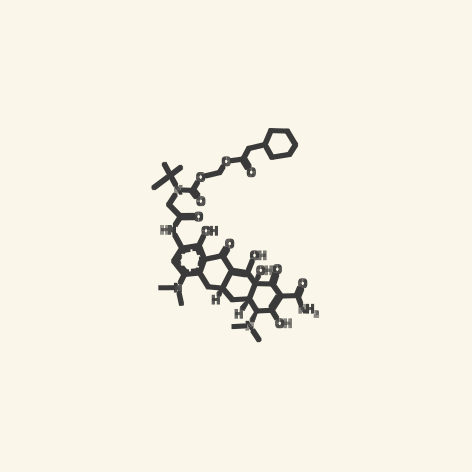 CN(C)c1cc(NC(=O)CN(C(=O)OCOC(=O)CC2CCCCC2)C(C)(C)C)c(O)c2c1C[C@H]1C[C@H]3[C@H](N(C)C)C(O)=C(C(N)=O)C(=O)[C@@]3(O)C(O)=C1C2=O